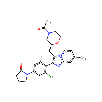 CC(=O)N1CCO[C@@H](Cc2c(-c3c(F)cc(N4CCCC4=O)cc3Cl)nc3cc(C)ccn23)C1